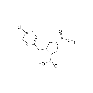 CC(=O)N1CC(Cc2ccc(Cl)cc2)C(C(=O)O)C1